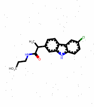 CC(C(=O)NCCS(=O)(=O)O)c1ccc2c(c1)[nH]c1ccc(Cl)cc12